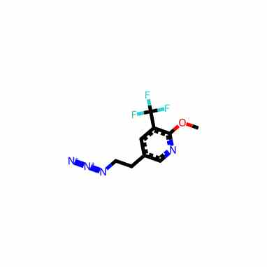 COc1ncc(CCN=[N+]=[N-])cc1C(F)(F)F